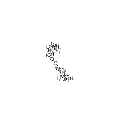 COC(=O)N[C@H](C(=O)N1CCC[C@H]1c1ncc(-c2cc3ccc(-c4ccc(-c5cnc([C@@H]6CCCN6C(=O)[C@H](C(C)C)N(C)C(=O)O)[nH]5)cc4)cc3cn2)[nH]1)C(C)C